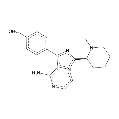 CN1CCCC[C@H]1c1nc(-c2ccc(C=O)cc2)c2c(N)nccn12